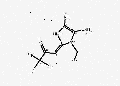 CCN1C(N)=C(N)N/C1=C\C(=O)C(F)(F)F